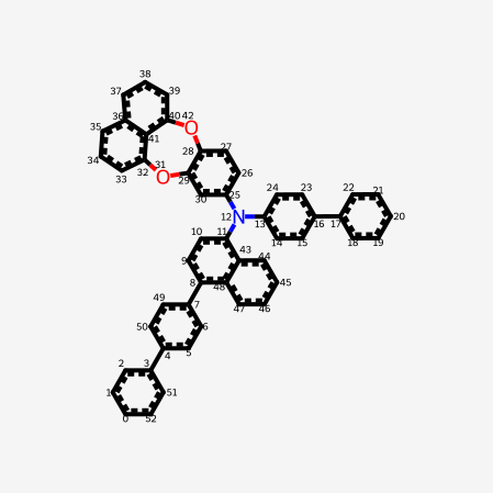 c1ccc(-c2ccc(-c3ccc(N(c4ccc(-c5ccccc5)cc4)c4ccc5c(c4)Oc4cccc6cccc(c46)O5)c4ccccc34)cc2)cc1